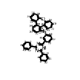 c1ccc(-c2nc(-c3ccccc3)nc(-c3cccc(-n4c5cccc6oc7ccccc7c7cccc4c7c65)c3)n2)cc1